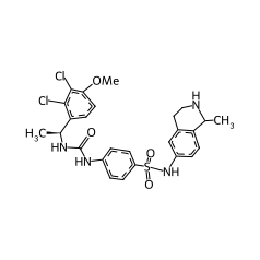 COc1ccc([C@H](C)NC(=O)Nc2ccc(S(=O)(=O)Nc3ccc4c(c3)CCNC4C)cc2)c(Cl)c1Cl